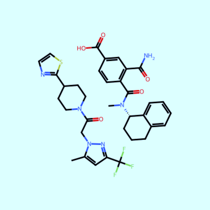 CN(C(=O)c1ccc(C(=O)O)cc1C(N)=O)[C@H]1CCCc2ccccc21.Cc1cc(C(F)(F)F)nn1CC(=O)N1CCC(c2nccs2)CC1